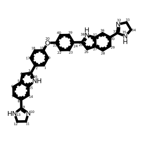 c1cc(-c2cc3ccc(C4=NCCN4)cc3[nH]2)ccc1Oc1ccc(-c2cc3ccc(C4=NCCN4)cc3[nH]2)cc1